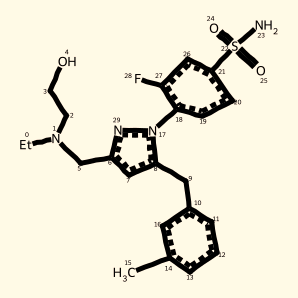 CCN(CCO)Cc1cc(Cc2cccc(C)c2)n(-c2ccc(S(N)(=O)=O)cc2F)n1